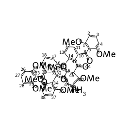 COc1cccc(OC)c1C(=O)c1cccc(Oc2cccc(C(=O)c3c(OC)cccc3OC)c2C(=O)c2c(OC)cccc2OC)c1C(=O)c1c(OC)cccc1OC.P